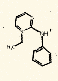 CC[n+]1cccnc1Nc1ccccc1.[I-]